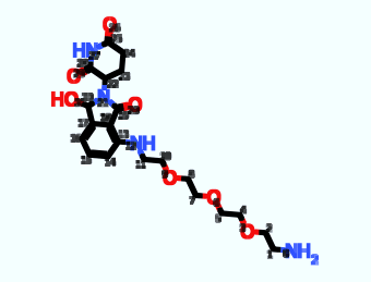 NCCOCCOCCOCCNc1cccc2c1C(=O)N(C1CCC(=O)NC1=O)C2O